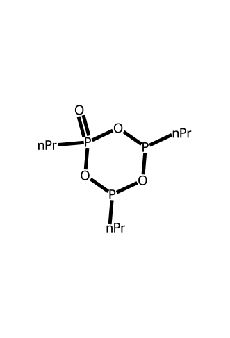 CCCP1OP(CCC)OP(=O)(CCC)O1